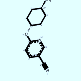 N#Cc1ccc(O[C@H]2CC[C@H](N)CC2)nc1